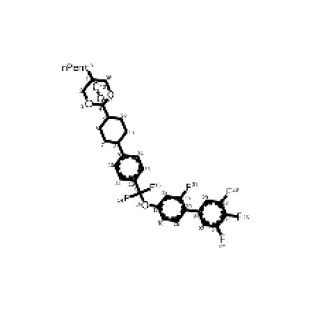 CCCCCC12COC(C3CCC(c4ccc(C(F)(F)Oc5ccc(-c6cc(F)c(F)c(F)c6)c(F)c5)cc4)CC3)(OC1)OC2